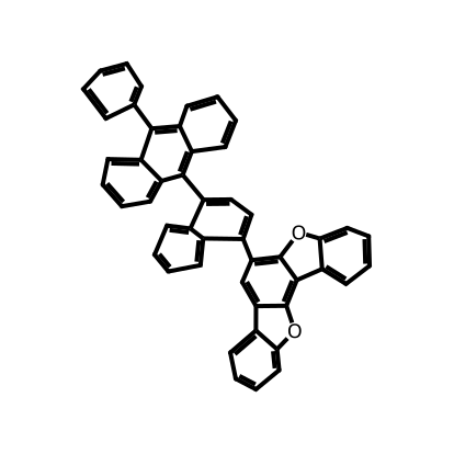 c1ccc(-c2c3ccccc3c(-c3ccc(-c4cc5c6ccccc6oc5c5c4oc4ccccc45)c4ccccc34)c3ccccc23)cc1